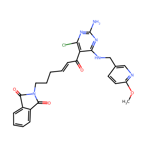 COc1ccc(CNc2nc(N)nc(Cl)c2C(=O)/C=C/CCCN2C(=O)c3ccccc3C2=O)cn1